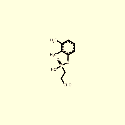 Cc1cccc(OP(=O)(O)CCC=O)c1C